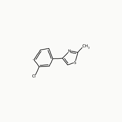 Cc1nc(-c2cc[c]c(Cl)c2)cs1